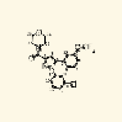 O=C(c1cc(-c2cccc(OC(F)(F)F)c2)n(-c2cccc(Cl)c2)n1)N1CCOCC1